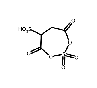 O=C1CC(S(=O)(=O)O)C(=O)OS(=O)(=O)O1